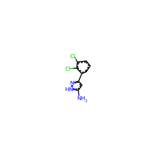 Nc1cc(-c2cccc(Cl)c2Cl)n[nH]1